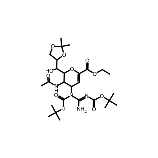 CCOC(=O)C1=CC(N(C(=O)OC(C)(C)C)C(N)=NC(=O)OC(C)(C)C)C(NC(C)=O)C(C(O)C2COC(C)(C)O2)O1